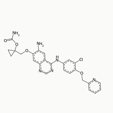 NC(=O)OC1(COc2cc3ncnc(Nc4ccc(OCc5ccccn5)c(Cl)c4)c3cc2N)CC1